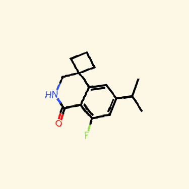 CC(C)c1cc(F)c2c(c1)C1(CCC1)CNC2=O